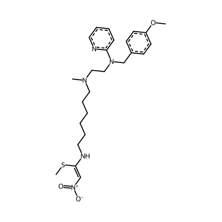 COc1ccc(CN(CCN(C)CCCCCCNC(=C[N+](=O)[O-])SC)c2ccccn2)cc1